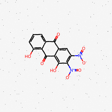 O=C1c2cccc(O)c2C(=O)c2c1cc([N+](=O)[O-])c([N+](=O)[O-])c2O